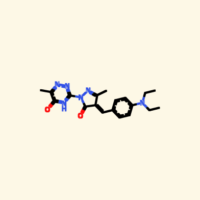 CCN(CC)c1ccc(C=C2C(=O)N(c3nnc(C)c(=O)[nH]3)N=C2C)cc1